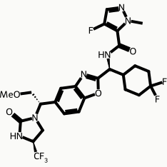 COC[C@H](c1ccc2oc([C@@H](NC(=O)c3c(F)cnn3C)C3CCC(F)(F)CC3)nc2c1)N1C[C@@H](C(F)(F)F)NC1=O